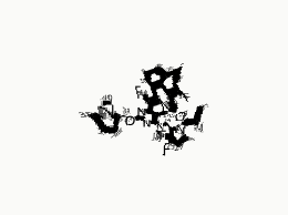 C#Cc1c(F)ccc2cccc(-c3ncc4c(N(C)C[C@H]5N(C(=O)C=C)CCC5(F)F)nc(OC[C@@H]5CCCN5C)nc4c3F)c12